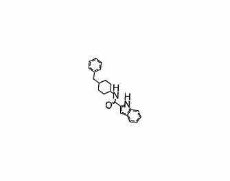 O=C(NC1CCC(Cc2ccccc2)CC1)c1cc2ccccc2[nH]1